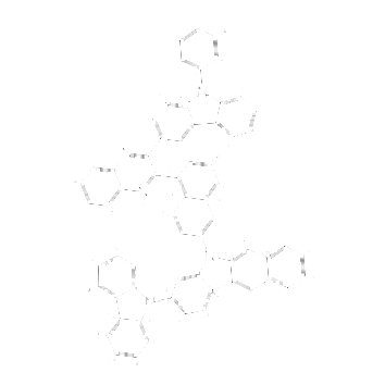 c1ccc(-n2c3ccccc3c3cc(-c4nc5ccccc5nc4-c4cccc5cc(-n6c7cc(-n8c9ccccc9c9ccccc98)ccc7c7cc8ccccc8cc76)ccc45)ccc32)cc1